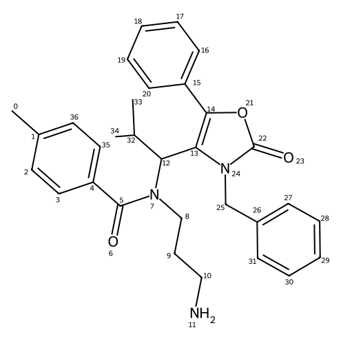 Cc1ccc(C(=O)N(CCCN)C(c2c(-c3ccccc3)oc(=O)n2Cc2ccccc2)C(C)C)cc1